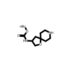 CCCCOC(=O)NC1COC2(CCNCC2)C1